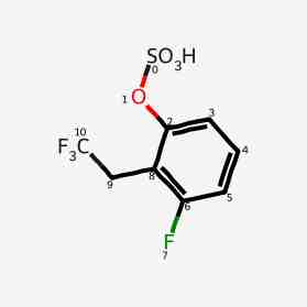 O=S(=O)(O)Oc1cccc(F)c1CC(F)(F)F